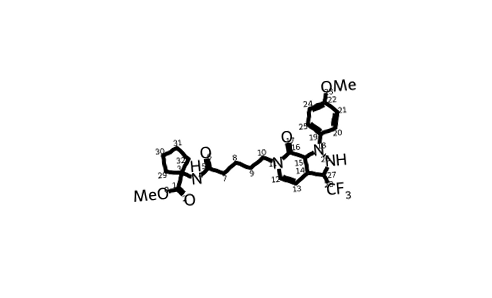 COC(=O)C1(NC(=O)CCCCN2C=CC3C(C2=O)N(c2ccc(OC)cc2)NC3C(F)(F)F)CCCC1